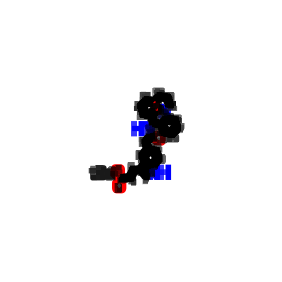 CC(C)(C)OC(=O)CCc1c[nH]c2ccc(CC(=O)NC(c3ccccc3)c3ccccc3N3CCCCC3)cc12